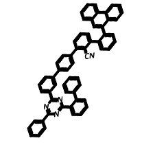 N#Cc1c(-c2ccc(-c3cccc(-c4nc(-c5ccccc5)nc(-c5ccccc5-c5ccccc5)n4)c3)cc2)cccc1-c1ccccc1-c1cc2ccccc2c2ccccc12